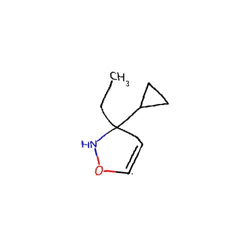 CCC1(C2CC2)C=[C]ON1